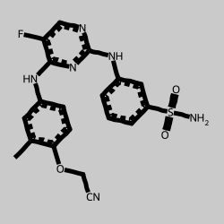 Cc1cc(Nc2nc(Nc3cccc(S(N)(=O)=O)c3)ncc2F)ccc1OCC#N